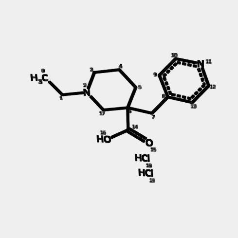 CCN1CCCC(Cc2ccncc2)(C(=O)O)C1.Cl.Cl